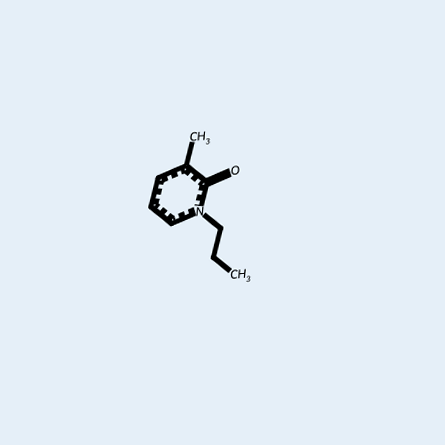 CCCn1cccc(C)c1=O